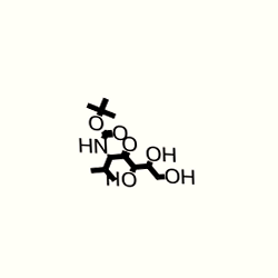 CC(C)[C@H](NC(=O)OC(C)(C)C)C(=O)C(O)C(O)CO